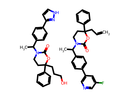 C=CCC1(c2ccccc2)CCN(C(C)c2ccc(-c3cncc(F)c3)cc2)C(=O)O1.CC(c1ccc(-c2cc[nH]n2)cc1)N1CCC(CCCO)(c2ccccc2)OC1=O